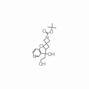 CC(C)(C)OC(=O)N1CC2(CC(C(O)(CCO)c3cnccc3Cl)C2)C1